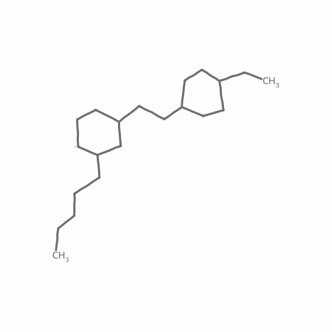 CCCCCC1[CH]CCC(CCC2CCC(CC)CC2)C1